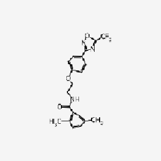 Cc1ccc(C)c(C(=O)NCCOc2ccc(-c3noc(C(F)(F)F)n3)cc2)c1